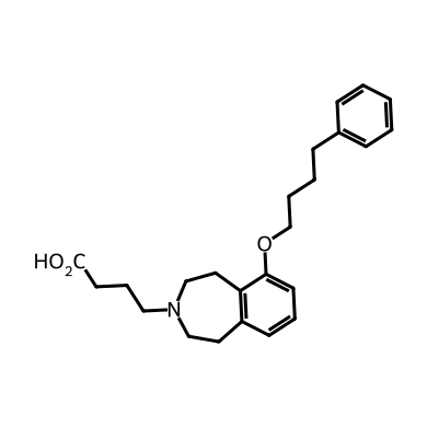 O=C(O)CCCN1CCc2cccc(OCCCCc3ccccc3)c2CC1